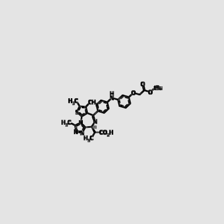 Cc1sc2c(c1C)C(c1ccc(Nc3cccc(OCC(=O)OC(C)(C)C)c3)cc1)=N[C@@H](C(C)C(=O)O)c1nnc(C)n1-2